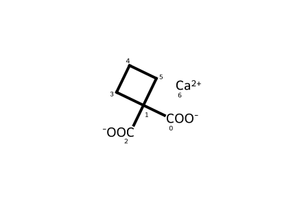 O=C([O-])C1(C(=O)[O-])CCC1.[Ca+2]